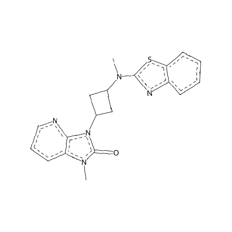 CN(c1nc2ccccc2s1)C1CC(n2c(=O)n(C)c3cccnc32)C1